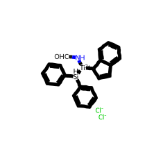 O=C[NH][Ti+2]([CH]1C=Cc2ccccc21)[SiH](c1ccccc1)c1ccccc1.[Cl-].[Cl-]